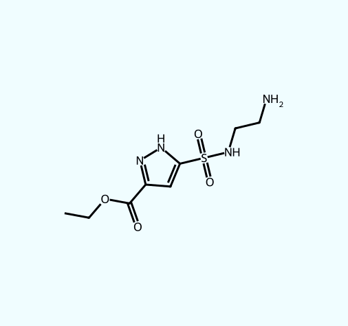 CCOC(=O)c1cc(S(=O)(=O)NCCN)[nH]n1